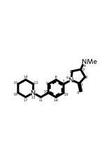 C=C1CC(NC)CN1c1ccc(CN2CCCCC2)cc1